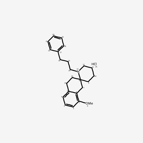 COc1cccc2c1CC1(CCCCN1CCCc1ccccc1)CC2.Cl